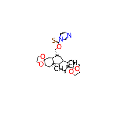 C[C@]12CCC3(CC1[C@H](COC(=S)n1ccnc1)CC1C2CC[C@@]2(C)C1CCC21OCCO1)OCCO3